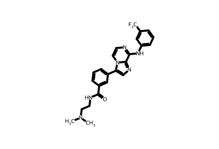 CN(C)CCNC(=O)c1cccc(-c2cnc3c(Nc4cccc(C(F)(F)F)c4)nccn23)c1